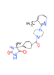 Cc1cccnc1N1CCN(C(=O)c2ccc([C@@]3(C(C)C)NC(=O)NC3=O)cc2)CC1